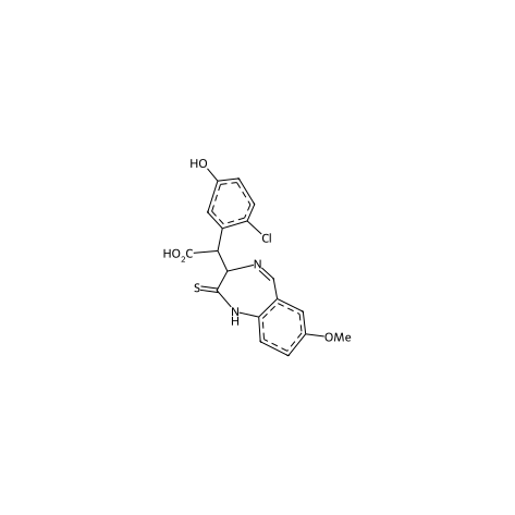 COc1ccc2c(c1)C=NC(C(C(=O)O)c1cc(O)ccc1Cl)C(=S)N2